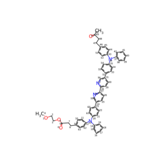 COCCOC(=O)CCc1ccc(N(c2ccccc2)c2ccc(-c3ccc(-c4ccc(-c5ccc(N(c6ccccc6)c6ccc(CCC(C)=O)cc6)cc5)cn4)nc3)cc2)cc1